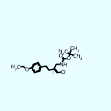 CCOc1ccc(CC/C(=C/Cl)CNC(=O)OC(C)(C)C)cc1